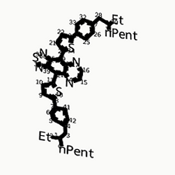 CCCCCC(CC)Cc1ccc(-c2ccc(-c3c4nccnc4c(-c4ccc(-c5ccc(CC(CC)CCCCC)cc5)s4)c4nsnc34)s2)cc1